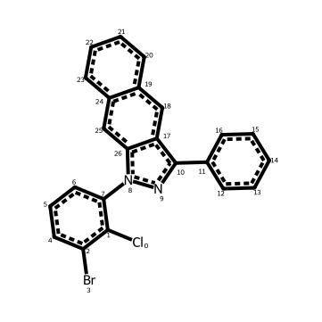 Clc1c(Br)cccc1-n1nc(-c2ccccc2)c2cc3ccccc3cc21